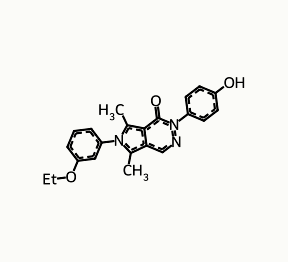 CCOc1cccc(-n2c(C)c3cnn(-c4ccc(O)cc4)c(=O)c3c2C)c1